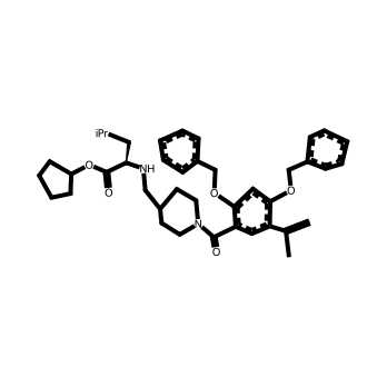 C=C(C)c1cc(C(=O)N2CCC(CN[C@H](CC(C)C)C(=O)OC3CCCC3)CC2)c(OCc2ccccc2)cc1OCc1ccccc1